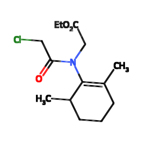 CCOC(=O)CN(C(=O)CCl)C1=C(C)CCCC1C